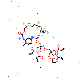 C=CC(=O)OCC(COCC(COC(=O)C=C)(COC(=O)C=C)COC(=O)Nc1ccc(C)c(NC(=O)OCC(F)(F)OCCC(F)(F)COC)c1)(COC(=O)C=C)COC(=O)C=C